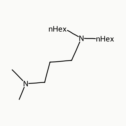 CCCCCCN(CCCCCC)CCCN(C)C